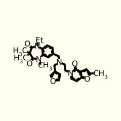 CCN1C(=O)C(C)(C)C(=O)N(C)c2cc(CN(CCn3ccc4oc(C)cc4c3=O)Cc3ccoc3)ccc21